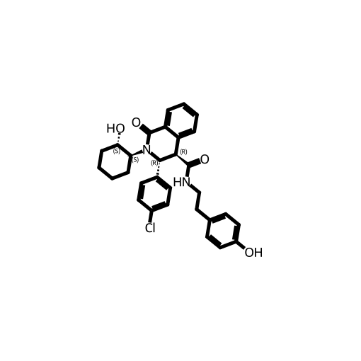 O=C(NCCc1ccc(O)cc1)[C@@H]1c2ccccc2C(=O)N([C@H]2CCCC[C@@H]2O)[C@H]1c1ccc(Cl)cc1